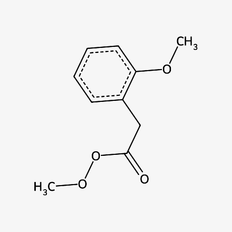 COOC(=O)Cc1ccccc1OC